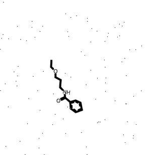 CCOCCCNC(=O)c1ccccc1